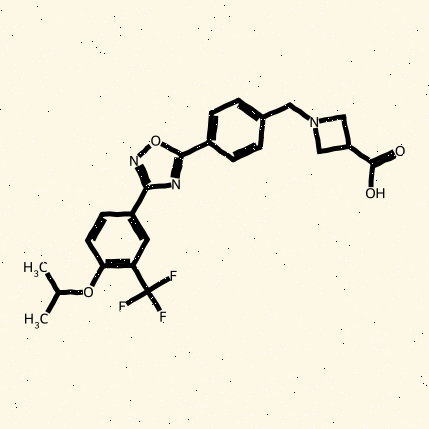 CC(C)Oc1ccc(-c2noc(-c3ccc(CN4CC(C(=O)O)C4)cc3)n2)cc1C(F)(F)F